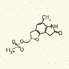 Cc1cc2c(c3c1NC(=O)C3)OC(COS(C)(=O)=O)C2